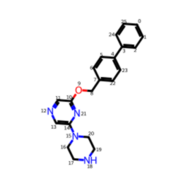 c1ccc(-c2ccc(COc3cncc(N4CCNCC4)n3)cc2)cc1